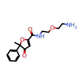 CC1(c2ccccc2)OC(C(=O)NCCOCCN)=CC1=O